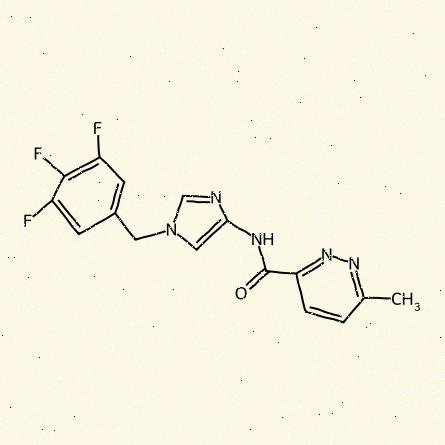 Cc1ccc(C(=O)Nc2cn(Cc3cc(F)c(F)c(F)c3)cn2)nn1